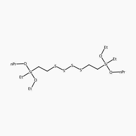 CCCO[Si](CC)(CCSSSSCC[Si](CC)(OCC)OCCC)OCC